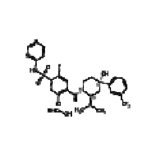 CN(C)[C@@H]1C[C@](O)(c2cccc(C(F)(F)F)c2)CC[C@H]1Nc1cc(F)c(S(=O)(=O)Nc2ccncn2)cc1Cl.O=CO